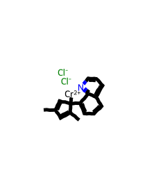 CC1=C[C]([Cr+2])(c2cccc3cccnc23)C(C)=C1.[Cl-].[Cl-]